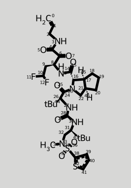 C=CCNC(=O)C(=O)[C@H](CC(F)F)NC(=O)[C@@H]1[C@H]2CCC[C@H]2CN1C(=O)[C@@H](NC(=O)N[C@H](CN(C)S(=O)(=O)c1cccs1)C(C)(C)C)C(C)(C)C